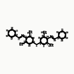 CCc1cc(Cc2cc(CC)c(N=Cc3ccccc3)c(CC)c2)cc(CC)c1N=Cc1ccccc1